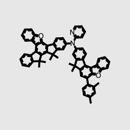 Cc1ccc(-c2cc3c(c4c2oc2ccccc24)-c2ccc(N(c4ccc5c(c4)C(C)(C)c4c6c(c7c(oc8ccccc87)c4-5)-c4ccccc4C6(C)C)c4ccccn4)cc2C3(C)C)c(C)c1